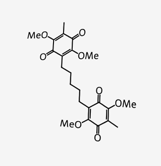 COC1=C(C)C(=O)C(OC)=C(CCCCCC2=C(OC)C(=O)C(C)=C(OC)C2=O)C1=O